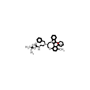 Cc1ccc2c(c1C(=O)O)-c1c(C3CCCCC3)c3ccccc3n1C[C@@H](N(CCNC(=O)OC(C)(C)C)Cc1ccccc1)CO2